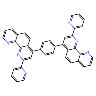 c1ccc(-c2cc(-c3ccc(-c4cc(-c5ccccn5)nc5c4ccc4cccnc45)cc3)c3ccc4cccnc4c3n2)nc1